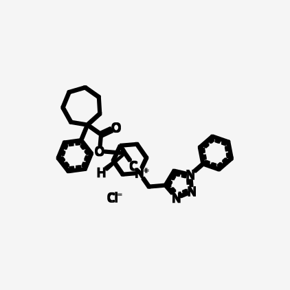 O=C(O[C@H]1C[N+]2(Cc3cn(-c4ccccc4)nn3)CCC1CC2)C1(c2ccccc2)CCCCCC1.[Cl-]